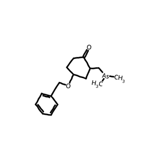 C[As](C)CC1CC(OCc2ccccc2)CCC1=O